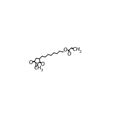 C=CC(=O)OCCCCCCCCC1CC(=O)N(C)C1=O